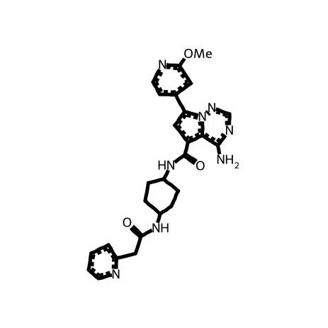 COc1cc(-c2cc(C(=O)NC3CCC(NC(=O)Cc4ccccn4)CC3)c3c(N)ncnn23)ccn1